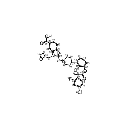 CC1(c2ccc(Cl)cc2F)Oc2c(cccc2C2CCN(Cc3nc4ccc(C(=O)O)cc4n3C[C@@H]3CCO3)CC2)OC1=O